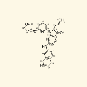 C=CCn1c(=O)c2cnc(Nc3ccc4c(c3)CNCC4)nc2n1-c1cccc(OC2CCOC2)n1